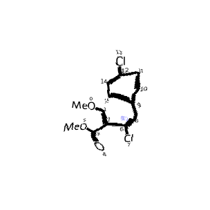 COC=C(C(=O)OC)/C(Cl)=C\c1ccc(Cl)cc1